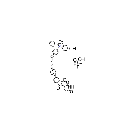 CC/C(=C(\c1ccc(O)cc1)c1ccc(OCCCCN2CCN(c3ccc4c(c3)C(=O)N(C3CCC(=O)NC3=O)C4=O)CC2)cc1)c1ccccc1.O=C(O)C(F)(F)F